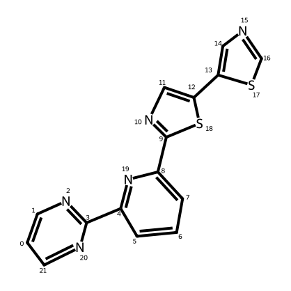 c1cnc(-c2cccc(-c3ncc(-c4cncs4)s3)n2)nc1